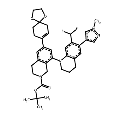 Cn1cc(-c2cc3c(cc2C(F)F)N(c2cc(C4=CCC5(CC4)OCCO5)cc4c2CN(C(=O)OC(C)(C)C)CC4)CCC3)cn1